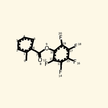 Cc1ccccc1C(=O)Oc1c(F)c(F)c(F)c(F)c1F